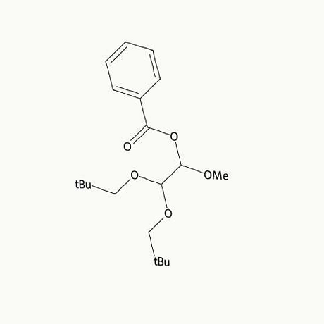 COC(OC(=O)c1ccccc1)C(OCC(C)(C)C)OCC(C)(C)C